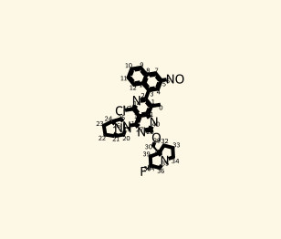 Cc1c(-c2cc(N=O)cc3ccccc23)nc(Cl)c2c(N3CC4CCC(C3)N4)nc(OC[C@@]34CCCN3C[C@H](F)C4)nc12